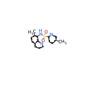 Cc1ccc(S(=O)(=O)Nc2c(C)ccc3cccnc23)nc1